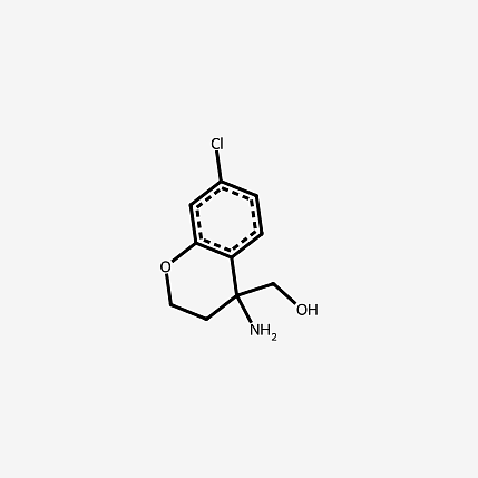 NC1(CO)CCOc2cc(Cl)ccc21